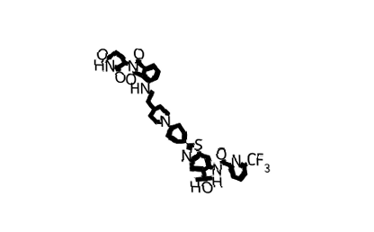 CC(C)(O)c1cc2nc([C@H]3CC[C@H](N4CCC(CCNc5cccc6c5C(=O)N(C5CCC(=O)NC5=O)C6=O)CC4)CC3)sc2cc1NC(=O)c1cccc(C(F)(F)F)n1